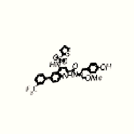 COC[C@H](Cc1ccc(O)cc1)NC(=O)c1cc(NS(=O)(=O)c2cccs2)c2cc(-c3cccc(C(F)(F)F)c3)ccc2n1